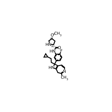 CO[C@H]1CN[C@@H](C(=O)Nc2cc(C3(CCC4CC4)NC4=C3C=CN=C(C)C4)ccc2F)C1